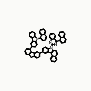 c1cc2c(c(-c3ccc4c(c3)c3ccccc3n4-c3cccc4ccccc34)c1)-c1cc(-c3ccc4c(c3)c3c5ccccc5ccc3n4-c3nc(-c4cccc5ccccc45)c4ccccc4n3)ccc1C2